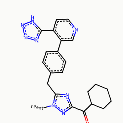 CCCCCn1nc(C(=O)C2CCCCC2)nc1Cc1ccc(-c2cnccc2-c2nnn[nH]2)cc1